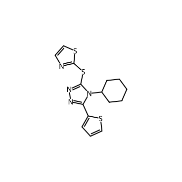 c1csc(-c2nnc(Sc3nccs3)n2C2CCCCC2)c1